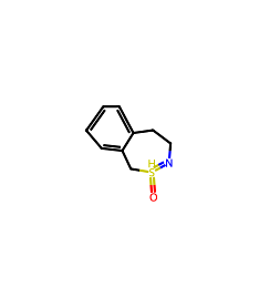 O=[SH]1=NCCc2ccccc2C1